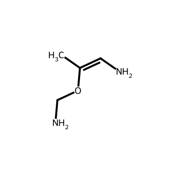 C/C(=C/N)OCN